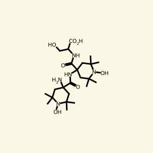 CC1(C)CC(N)(C(=O)NC2(C(=O)NC(CO)C(=O)O)CC(C)(C)N(O)C(C)(C)C2)CC(C)(C)N1O